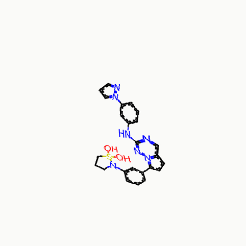 OS1(O)CCCN1c1cccc(-c2ccc3cnc(Nc4cccc(-n5cccn5)c4)nn23)c1